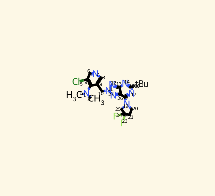 CN(C)c1c(Cl)cncc1Cn1nc2nc(C(C)(C)C)nc(N3CCC(F)(F)C3)c2n1